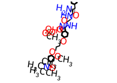 COc1cc(C(=O)N(C(C)C)C(C)C)ccc1OCCCCOc1ccc2c(NC(=O)CNC(=O)[C@@H](N)Cc3ccccc3)noc2c1.CS(=O)(=O)O